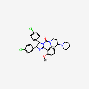 CC(C)Oc1ccccc1C1=NC(c2ccc(Cl)cc2)C(c2ccc(Cl)cc2)N1C(=O)N1CCC(N2CCCCC2)CC1